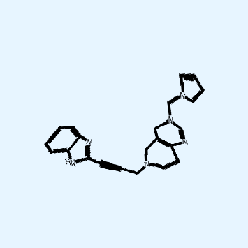 C(#Cc1nc2ccccc2[nH]1)CN1CCC2=C(CN(Cn3cccc3)C=N2)C1